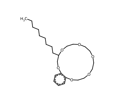 CCCCCCCCCC1COc2ccccc2OCCOCCOCCOCCO1